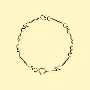 c1cc2ccc1CSCc1ccc(cc1)CSCc1ccc(cc1)CSCc1ccc(cc1)CSCc1ccc(cc1)CSCc1ccc(cc1)CSCc1ccc(cc1)CSC2